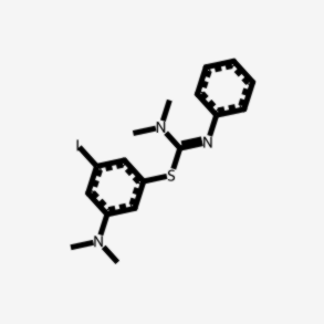 CN(C)/C(=N\c1ccccc1)Sc1cc(I)cc(N(C)C)c1